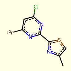 Cc1csc(-c2nc(Cl)cc(C(C)C)n2)n1